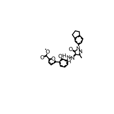 COC(=O)c1ccc(-c2cccc(NN=C3C(=O)N(c4ccc5c(c4)CCC5)N=C3C)c2O)o1